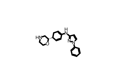 C1=CC([C@H]2CNCCO2)CC=C1Nc1ccn(-c2ccccc2)n1